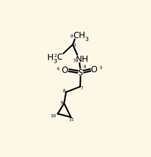 CC(C)NS(=O)(=O)CCC1CC1